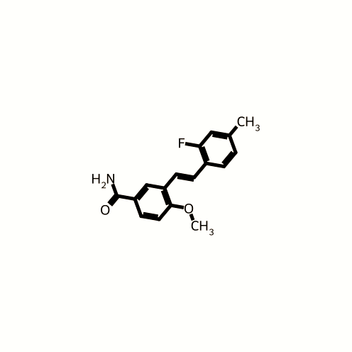 COc1ccc(C(N)=O)cc1C=Cc1ccc(C)cc1F